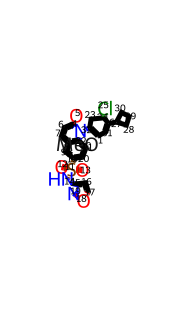 COC1=C(n2c(=O)ccc3cc(S(=O)(=O)Nc4ccon4)ccc32)CC(Cl)C(C2CCC2)=C1